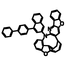 C1=C/C2C\C=c3/c(oc4cccc(c34)N(c3cc(-c4ccc(-c5ccccc5)cc4)c4ccccc4c3)c3nc4c(cc32)oc2ccccc24)=C\1